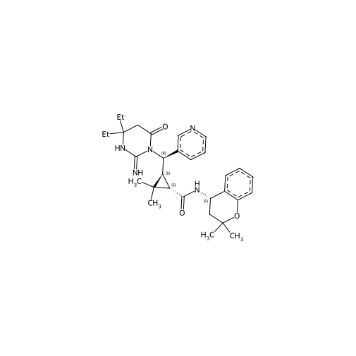 CCC1(CC)CC(=O)N([C@@H](c2cccnc2)[C@H]2[C@H](C(=O)N[C@H]3CC(C)(C)Oc4ccccc43)C2(C)C)C(=N)N1